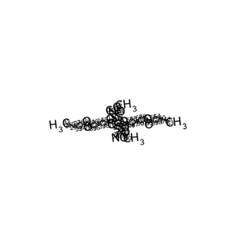 [C-]#[N+]C(C(=O)OC)=C1Sc2c(OC(=O)C3CCC(C4CCC(OC(=O)C5CCC(CCCC)CC5)CC4)CC3)c3c(c(OC(=O)C4CCC(C5CCC(OC(=O)C6CCC(CCCC)CC6)CC5)CC4)c2S1)SC(=C(C#N)C(=O)OC)S3